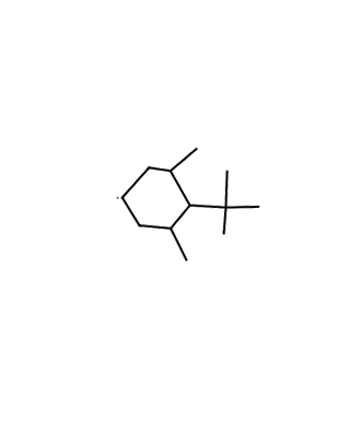 CC1C[CH]CC(C)C1C(C)(C)C